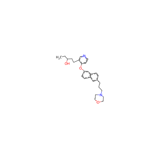 CCC(O)CCc1cnccc1Oc1ccc2cc(CCCN3CCOCC3)ccc2c1